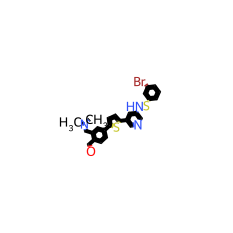 CN(C)Cc1cc(-c2ccc(-c3cncc(NSc4cccc(Br)c4)c3)s2)ccc1C=O